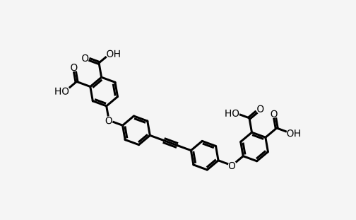 O=C(O)c1ccc(Oc2ccc(C#Cc3ccc(Oc4ccc(C(=O)O)c(C(=O)O)c4)cc3)cc2)cc1C(=O)O